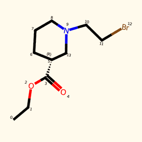 CCOC(=O)[C@@H]1CCCN(CCBr)C1